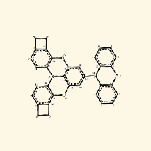 c1ccc2c(c1)Sc1ccccc1N2c1cc2c3c(c1)Oc1c(ccc4c1CC4)B3c1ccc3c(c1O2)CC3